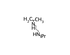 C=C(C)NCCCNC(C)C